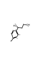 Cc1ccc(C(O)CCO)cc1